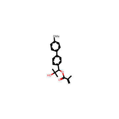 C=C(C)C(=O)OC(c1ccc(-c2ccc(OC)cc2)cc1)C(C)(C)O